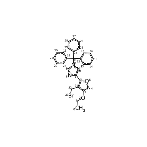 CCOc1noc(-c2ncn(C(c3ccccc3)(c3ccccc3)c3ccccc3)n2)c1CBr